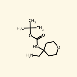 CC(C)(C)OC(=O)NC1(CN)CCOCC1